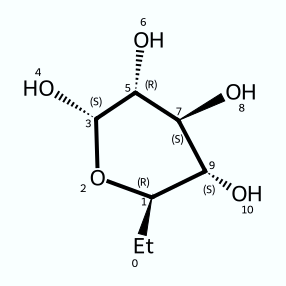 CC[C@H]1O[C@H](O)[C@H](O)[C@@H](O)[C@@H]1O